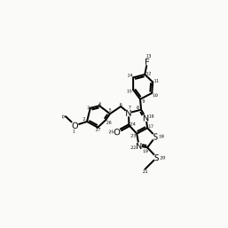 COc1ccc(Cn2c(-c3ccc(F)cc3)nc3sc(SC)nc3c2=O)cc1